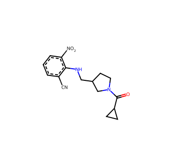 N#Cc1cccc([N+](=O)[O-])c1NCC1CCN(C(=O)C2CC2)C1